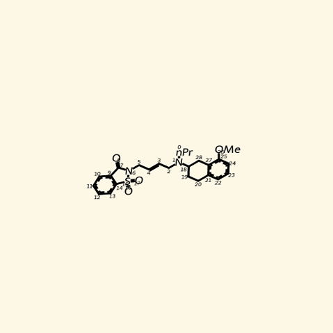 CCCN(C/C=C/CN1C(=O)c2ccccc2S1(=O)=O)C1CCc2cccc(OC)c2C1